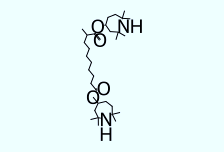 CC(CCCCCCCC(=O)OC1CCC(C)(C)NC(C)(C)C1)C(=O)OC1CCC(C)(C)NC(C)(C)C1